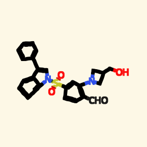 O=Cc1ccc(S(=O)(=O)n2cc(-c3ccccc3)c3ccccc32)cc1N1CC(CO)C1